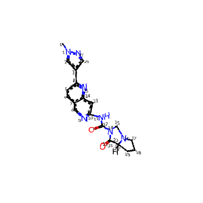 Cn1cc(-c2ccc3cnc(NC(=O)N4CN5CCC[C@@H]5C4=O)cc3n2)cn1